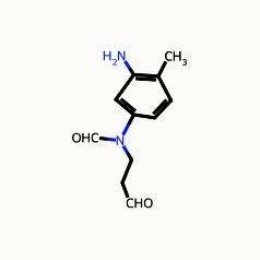 Cc1ccc(N(C=O)CCC=O)cc1N